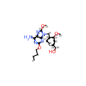 CCCCOc1nc(N)c2nc(OC)n(Cc3ccc(CO)cc3OC)c2n1